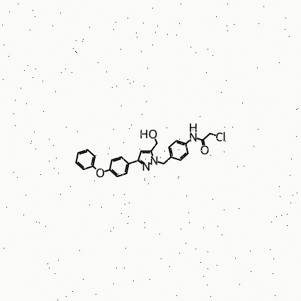 O=C(CCl)Nc1ccc(Cn2nc(-c3ccc(Oc4ccccc4)cc3)cc2CO)cc1